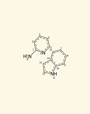 Nc1ccccn1.c1ccc2[nH]ccc2c1